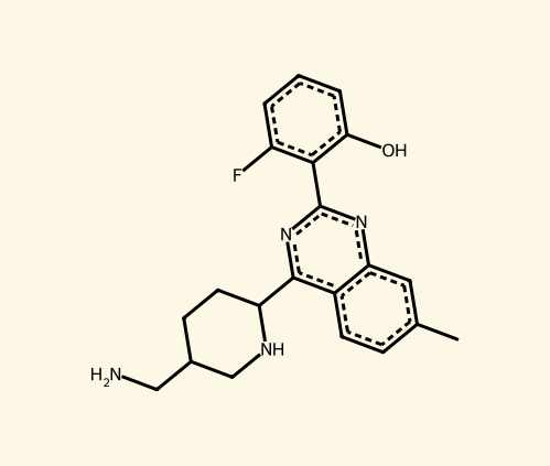 Cc1ccc2c(C3CCC(CN)CN3)nc(-c3c(O)cccc3F)nc2c1